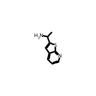 CC(N)c1cc2cccnc2s1